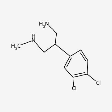 CNCC(CN)c1ccc(Cl)c(Cl)c1